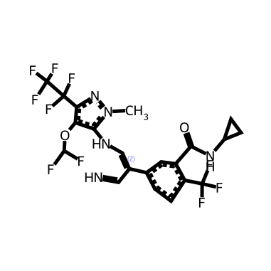 Cn1nc(C(F)(F)C(F)(F)F)c(OC(F)F)c1N/C=C(\C=N)c1ccc(C(F)(F)F)c(C(=O)NC2CC2)c1